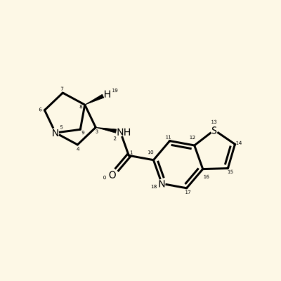 O=C(N[C@H]1CN2CC[C@H]1C2)c1cc2sccc2cn1